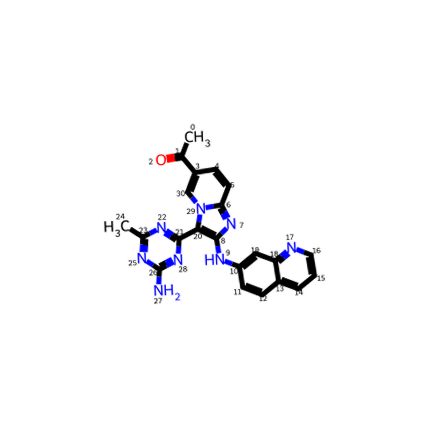 CC(=O)c1ccc2nc(Nc3ccc4cccnc4c3)c(-c3nc(C)nc(N)n3)n2c1